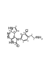 NCCc1ccc(-n2c3c([nH]c2=O)N=NC2NC=CC32)cc1Cl